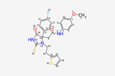 COc1ccc(NC(=O)CC2(c3ccc(F)cc3)C(=O)NC(=S)N2CCc2cccs2)cc1